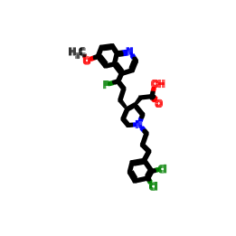 COc1ccc2nccc(C(F)CC[C@@H]3CCN(CCCc4cccc(Cl)c4Cl)C[C@@H]3CC(=O)O)c2c1